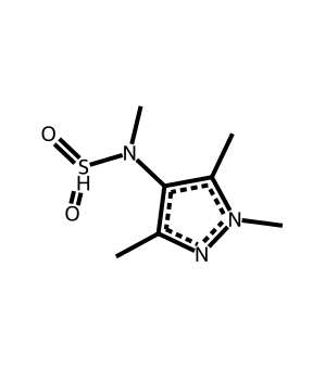 Cc1nn(C)c(C)c1N(C)[SH](=O)=O